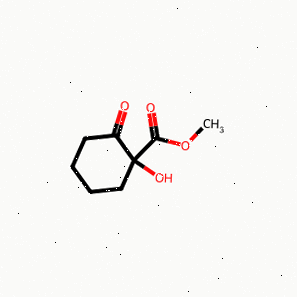 COC(=O)C1(O)CCCCC1=O